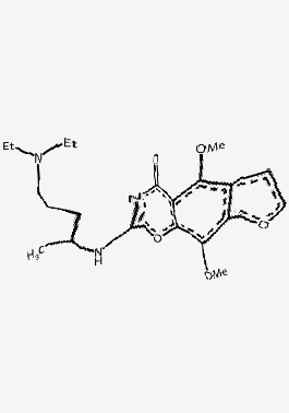 CCN(CC)CCC(C)Nc1nc(=O)c2c(OC)c3ccoc3c(OC)c2o1